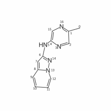 Cc1cnc(Nc2cc3ccccn3n2)cn1